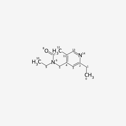 CCc1cc(CN(C=O)CC)c(C)cn1